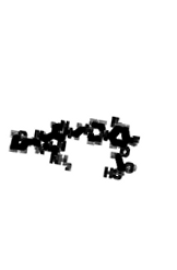 Nc1nc2c(cnn2CCN2CCN(c3cc(OCC(=O)O)c(F)cc3F)CC2)c2nc(-c3ccco3)nn12